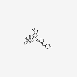 Cc1ccc(CN2CCC[C@@H](Oc3cc(F)c(C4CC4)cc3C(=O)NS(=O)(=O)N3CCC3)C2)cc1